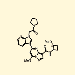 CNc1cc(-c2cn(CC(=O)N3CCCC3)c3ncccc23)nc2c(C(=O)NC3CC[C@@H]3OC)cnn12